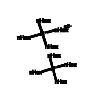 CCCCCC[N+](CCCCCC)(CCCCCC)CCCCCC.CCCCCC[N+](CCCCCC)(CCCCCC)CCCCCC.[S-2]